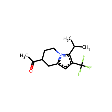 CC(=O)C1CCn2c(cc(C(F)(F)F)c2C(C)C)C1